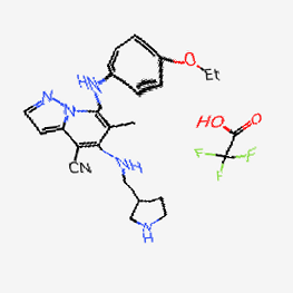 CCOc1ccc(Nc2c(C)c(NCC3CCNC3)c(C#N)c3ccnn23)cc1.O=C(O)C(F)(F)F